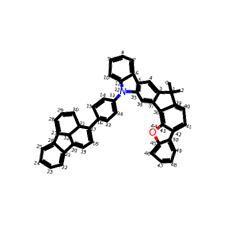 CC1(C)c2cc3c4ccccc4n(-c4ccc(C5=CC=C6c7ccccc7C7=CC=CC5C76)cc4)c3cc2-c2c1ccc1c2oc2ccccc21